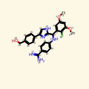 CCOc1cc(OC(C)C)c(F)c(C(Nc2ccc(C(=N)N)cc2)c2nc(-c3ccc(CO)cc3)c[nH]2)c1